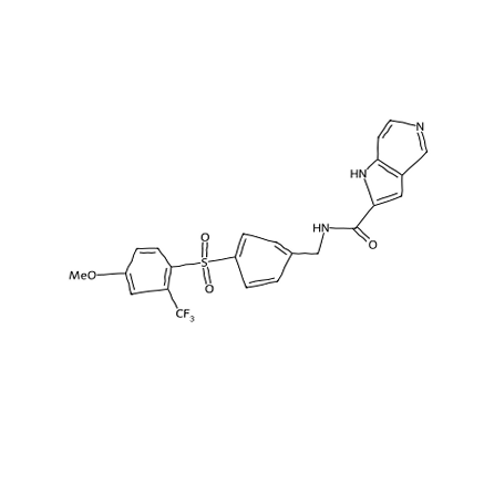 COc1ccc(S(=O)(=O)c2ccc(CNC(=O)c3cc4cnccc4[nH]3)cc2)c(C(F)(F)F)c1